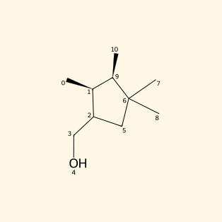 C[C@@H]1C(CO)CC(C)(C)[C@@H]1C